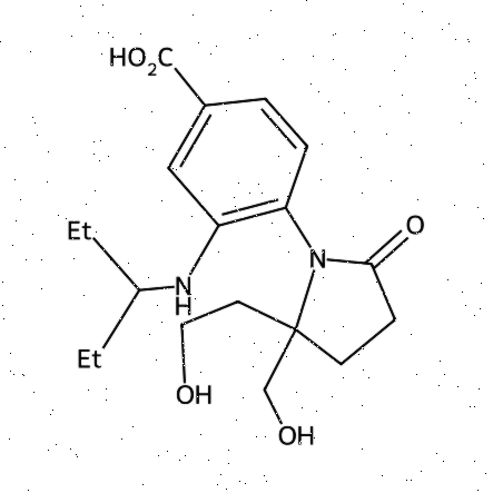 CCC(CC)Nc1cc(C(=O)O)ccc1N1C(=O)CCC1(CO)CCO